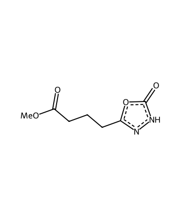 COC(=O)CCCc1n[nH]c(=O)o1